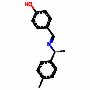 Cc1ccc([C@@H](C)N=Cc2ccc(O)cc2)cc1